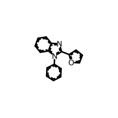 c1ccc(-n2c(-c3ccco3)nc3ccccc32)cc1